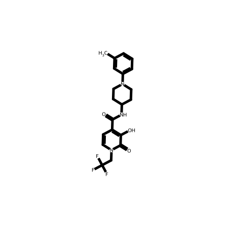 Cc1cccc(N2CCC(NC(=O)c3ccn(CC(F)(F)F)c(=O)c3O)CC2)c1